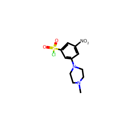 CN1CCN(c2cc([N+](=O)[O-])cc(S(=O)(=O)Cl)c2)CC1